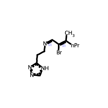 CCC/C(C)=C(Br)/C=N\CCc1nnc[nH]1